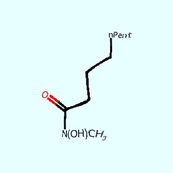 [CH2]CCCCCCCC(=O)N(C)O